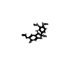 C=CCC1=CC2C(=CC1=O)OC(OC(C)=O)(c1ccc(OC)c(OC)c1)[C@@H]2C